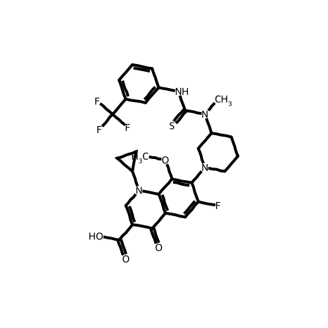 COc1c(N2CCCC(N(C)C(=S)Nc3cccc(C(F)(F)F)c3)C2)c(F)cc2c(=O)c(C(=O)O)cn(C3CC3)c12